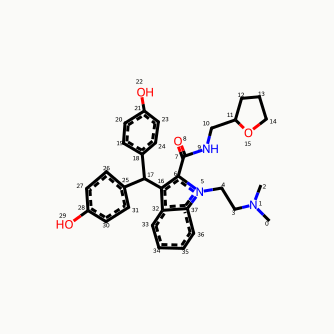 CN(C)CCn1c(C(=O)NCC2CCCO2)c(C(c2ccc(O)cc2)c2ccc(O)cc2)c2ccccc21